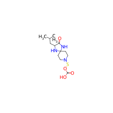 CC(C)CC1NC2(CCN(SOC(=O)O)CC2)NC1=O